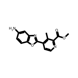 COC(=O)c1nccc(-c2nc3cc(N)ccc3o2)c1C